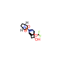 O=S(=O)(c1ccc(OC(F)F)cc1)N1[C@@H]2CC[C@H]1CC(NCC1CC(O)C1)C2